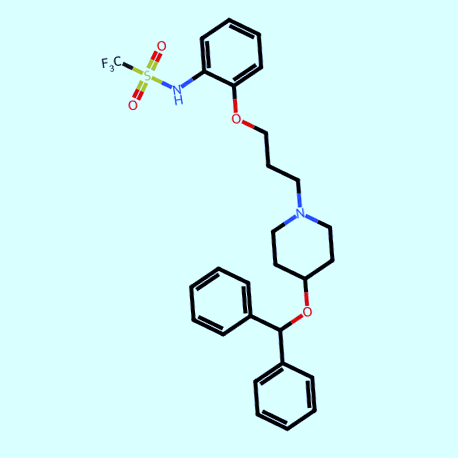 O=S(=O)(Nc1ccccc1OCCCN1CCC(OC(c2ccccc2)c2ccccc2)CC1)C(F)(F)F